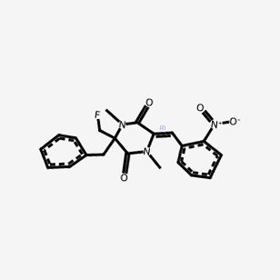 CN1C(=O)C(CF)(Cc2ccccc2)N(C)C(=O)/C1=C/c1ccccc1[N+](=O)[O-]